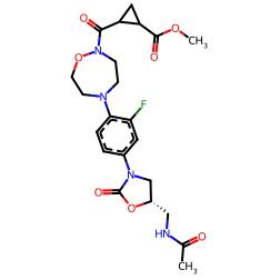 COC(=O)C1CC1C(=O)N1CCN(c2ccc(N3C[C@H](CNC(C)=O)OC3=O)cc2F)CCO1